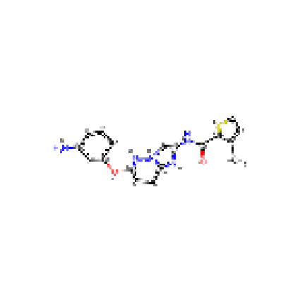 Cc1ccsc1C(=O)Nc1cn2nc(Oc3cccc(N)c3)ccc2n1